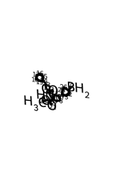 Bc1ccc([C@@H]2CC[C@](NC(=O)OCc3ccccc3)(C(=O)OC)C2)cc1